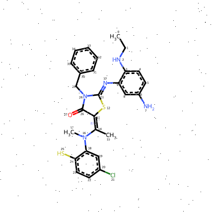 CCNc1ccc(N)cc1N=C1S/C(=C(\C)N(C)c2cc(Cl)ccc2S)C(=O)N1Cc1ccccc1